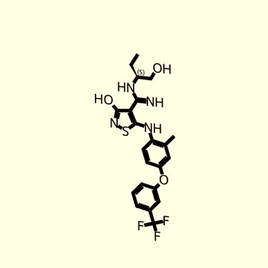 CC[C@@H](CO)NC(=N)c1c(O)nsc1Nc1ccc(Oc2cccc(C(F)(F)F)c2)cc1C